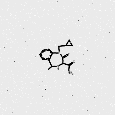 CC1NC(C(N)=O)C(=O)N(CC2CC2)c2ccccc21